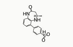 C[C@@H]1CC(=O)Nc2cccc(-c3ccc([SH](=O)=O)cc3)c2N1